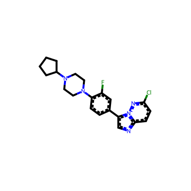 Fc1cc(-c2cnc3ccc(Cl)nn23)ccc1N1CCN(C2CCCC2)CC1